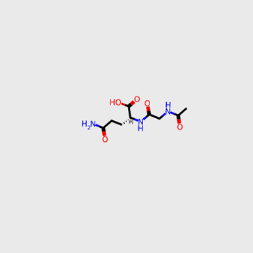 CC(=O)NCC(=O)N[C@H](CCC(N)=O)C(=O)O